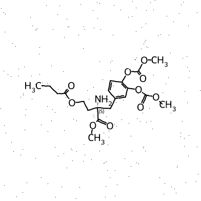 CCCC(=O)OCC[C@@](N)(Cc1ccc(OC(=O)OC)c(OC(=O)OC)c1)C(=O)OC